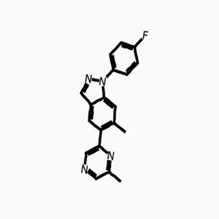 Cc1cncc(-c2cc3cnn(-c4ccc(F)cc4)c3cc2C)n1